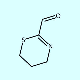 O=CC1=NCCCS1